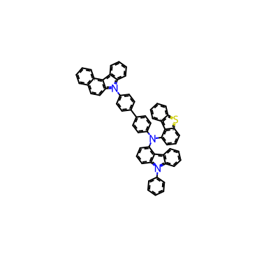 c1ccc(-n2c3ccccc3c3c(N(c4ccc(-c5ccc(-n6c7ccccc7c7c8ccccc8ccc76)cc5)cc4)c4cccc5sc6ccccc6c45)cccc32)cc1